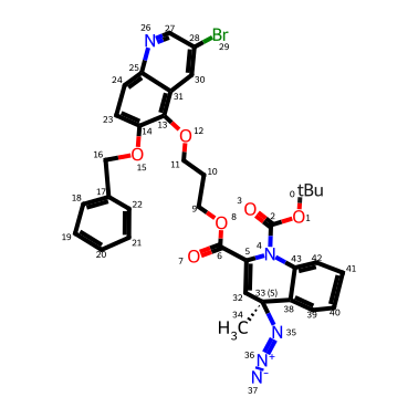 CC(C)(C)OC(=O)N1C(C(=O)OCCCOc2c(OCc3ccccc3)ccc3ncc(Br)cc23)=C[C@](C)(N=[N+]=[N-])c2ccccc21